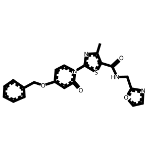 Cc1nc(-n2ccc(OCc3ccccc3)cc2=O)sc1C(=O)NCc1ncco1